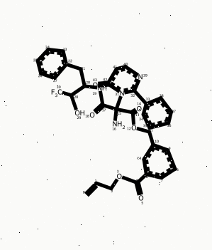 C=CCOC(=O)c1cccc(COC(=O)C(N)(C(=O)NC(Cc2ccccc2)C(O)C(F)(F)F)n2c(-c3ccccc3)nccc2=O)c1